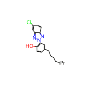 CC(C)CCCCc1ccc(O)c(-n2nc3ccc(Cl)cc3n2)c1